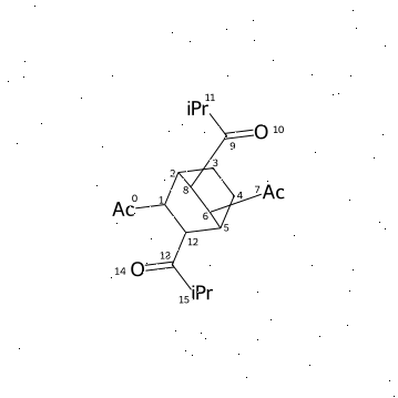 CC(=O)C1C2CCC(C(C(C)=O)C2C(=O)C(C)C)C1C(=O)C(C)C